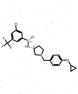 [O-][S@+](N[C@@H]1CCN(Cc2ccc(OC3CC3)cc2)C1)c1cc(Cl)cc(C(F)(F)F)c1